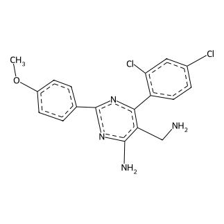 COc1ccc(-c2nc(N)c(CN)c(-c3ccc(Cl)cc3Cl)n2)cc1